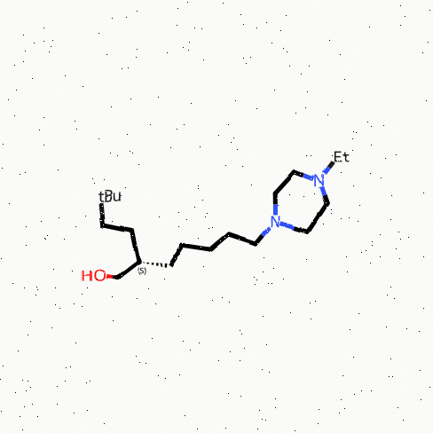 CCN1CCN(CCCCC[C@H](CO)CCC(C)(C)C)CC1